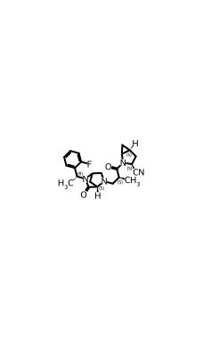 C[C@H](c1ccccc1F)N1C(=O)[C@@H]2CC1CN2C[C@H](C)C(=O)N1C2C[C@H]2C[C@H]1C#N